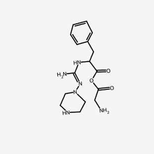 NCC(=O)OC(=O)C(Cc1ccccc1)NC(N)=NN1CCNCC1